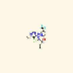 C=C/C=C(/Oc1ccc(C(F)(F)F)cn1)C(C)Nc1ncnc(CC)c1Cl